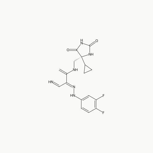 C=C(NC[C@@]1(C2CC2)NC(=O)NC1=O)/C(C=N)=N/Nc1ccc(F)c(F)c1